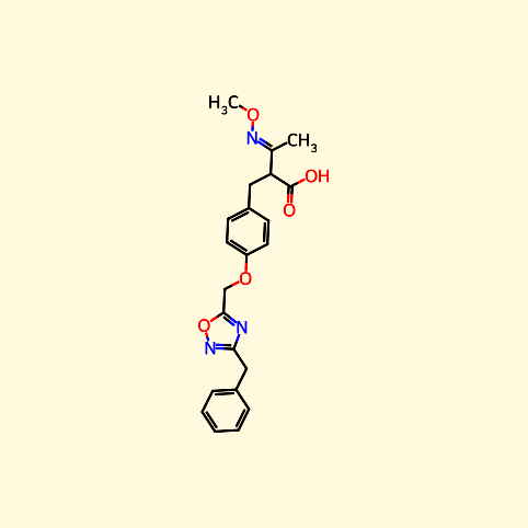 CON=C(C)C(Cc1ccc(OCc2nc(Cc3ccccc3)no2)cc1)C(=O)O